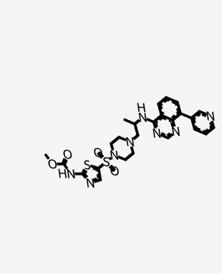 COC(=O)Nc1ncc(S(=O)(=O)N2CCN(CC(C)Nc3ncnc4c(-c5cccnc5)cccc34)CC2)s1